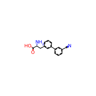 N#Cc1cccc(-c2cccc(C[C@H](N)C(=O)O)c2)c1